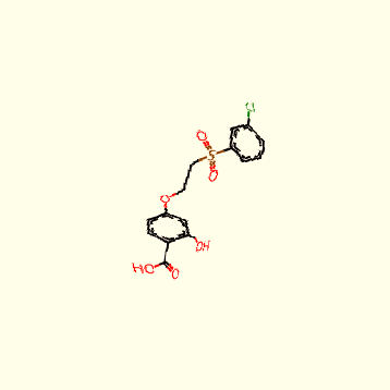 O=C(O)c1ccc(OCCS(=O)(=O)c2cccc(Cl)c2)cc1O